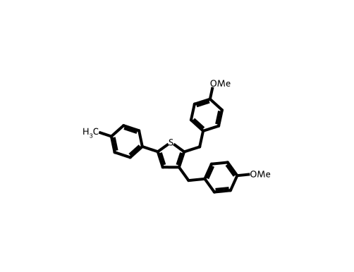 COc1ccc(Cc2cc(-c3ccc(C)cc3)sc2Cc2ccc(OC)cc2)cc1